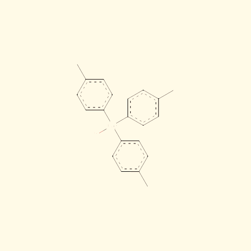 Cc1cc[c]([Ge]([Br])([c]2ccc(C)cc2)[c]2ccc(C)cc2)cc1